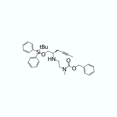 CC#CC[C@H](CO[Si](c1ccccc1)(c1ccccc1)C(C)(C)C)NCCN(C)C(=O)OCc1ccccc1